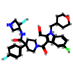 O=Cc1c(C(=O)N2CCC(C(=O)N[C@H]3CNC[C@H]3F)(c3ccc(F)cc3)CC2)c2cc(Cl)ccc2n1CC1CCOCC1